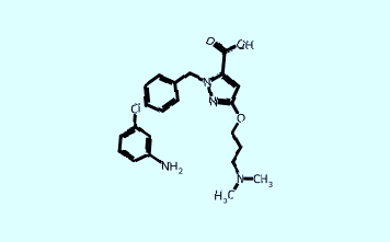 CN(C)CCCOc1cc(C(=O)O)n(Cc2ccccc2)n1.Nc1cccc(Cl)c1